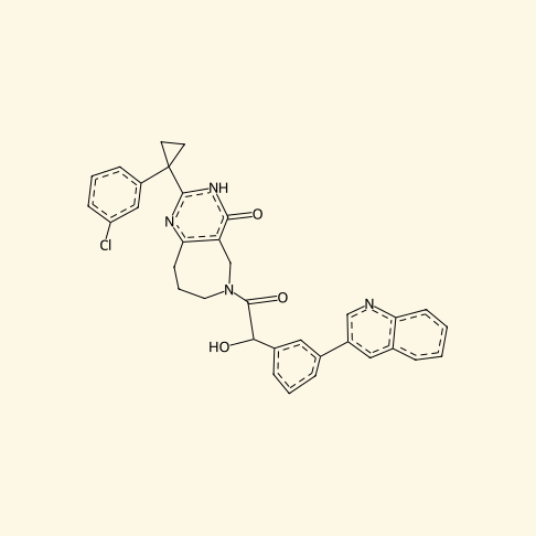 O=C(C(O)c1cccc(-c2cnc3ccccc3c2)c1)N1CCCc2nc(C3(c4cccc(Cl)c4)CC3)[nH]c(=O)c2C1